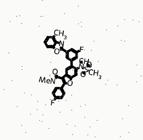 CNC(=O)c1c(-c2ccc(F)cc2)oc2cc(N(C)S(C)(=O)=O)c(-c3cc(F)cc(-c4nc5c(C)cccc5o4)c3)cc12